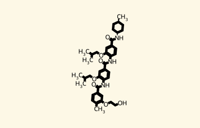 Cc1ccc(C(=O)Nc2ccc(C(=O)Nc3ccc(C(=O)N[C@H]4CC[C@H](C)CC4)cc3OCC(C)C)cc2OCC(C)C)cc1OCCO